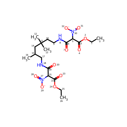 CCOC(=O)C(C(=O)NCCC(C)(C)CC(C)CNC(=O)C(C(=O)OCC)[N+](=O)[O-])[N+](=O)[O-]